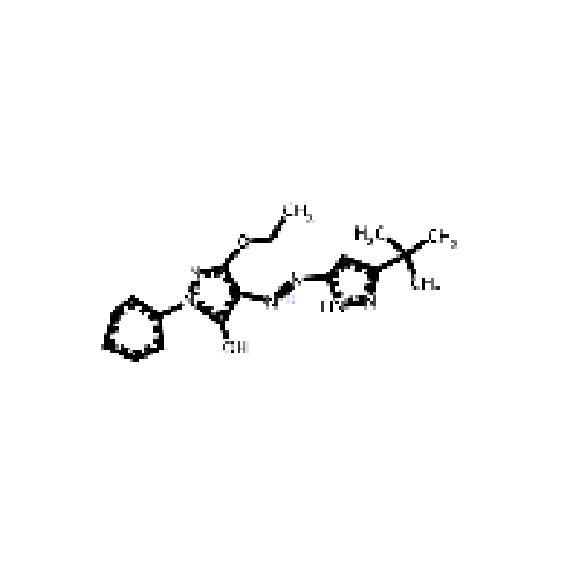 CCOc1nn(-c2ccccc2)c(O)c1/N=N/c1cc(C(C)(C)C)n[nH]1